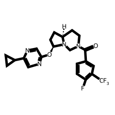 O=C(c1ccc(F)c(C(F)(F)F)c1)N1CC[C@@H]2CC[C@H](Oc3cnc(C4CC4)cn3)N2C1